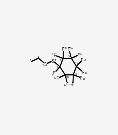 CCSSC1(F)C(F)(F)C(F)(F)C(F)(F)C(F)(F)C1(F)F